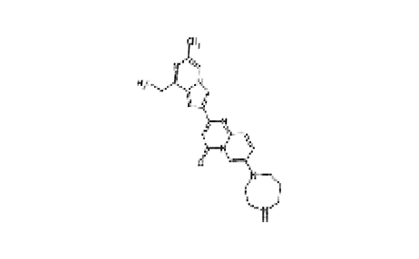 CCc1nc(C)cn2cc(-c3cc(=O)n4cc(N5CCCNCC5)ccc4n3)cc12